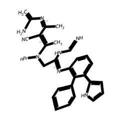 C=C(N)/N=C(C)\C(C#N)=C(/C)N(CCC)C/C(=N/c1cccc(-c2ccc[nH]2)c1-c1ccccc1)NC=N